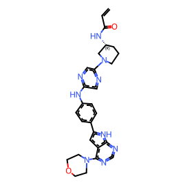 C=CC(=O)N[C@@H]1CCCN(c2cnc(Nc3ccc(-c4cc5c(N6CCOCC6)ncnc5[nH]4)cc3)cn2)C1